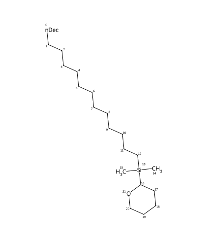 CCCCCCCCCCCCCCCCCCCCCC[Si](C)(C)C1CCCCO1